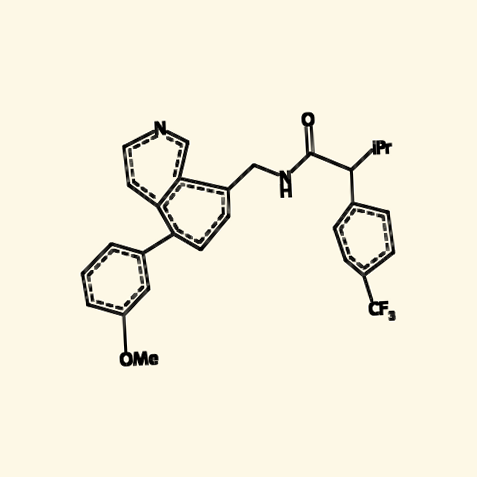 COc1cccc(-c2ccc(CNC(=O)C(c3ccc(C(F)(F)F)cc3)C(C)C)c3cnccc23)c1